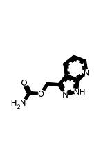 NC(=O)OCc1n[nH]c2ncccc12